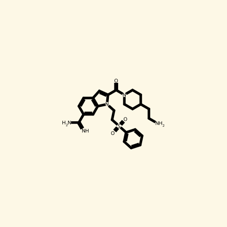 N=C(N)c1ccc2cc(C(=O)N3CCC(CCN)CC3)n(CCS(=O)(=O)c3ccccc3)c2c1